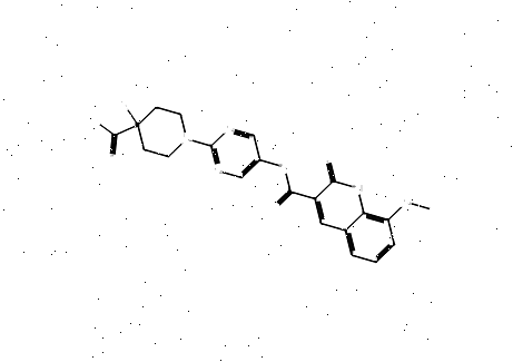 CNc1cccc2cc(C(=O)Nc3cnc(N4CCC(N)(C(=O)O)CC4)nc3)c(=O)[nH]c12